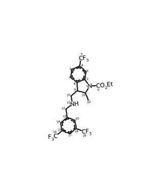 CCOC(=O)N1c2cc(C(F)(F)F)ccc2C(CNCc2cc(C(F)(F)F)cc(C(F)(F)F)c2)C1C